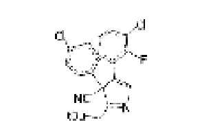 CC(C)(C)CC1=NC=C(c2cccc(Cl)c2F)C1(C#N)c1ccc(Cl)cc1